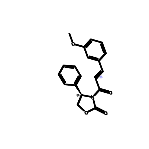 COc1cccc(/C=C/C(=O)N2C(=O)OC[C@H]2c2ccccc2)c1